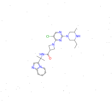 CCC1CN(c2ncc(Cl)c(N3CC(C(=O)NC(C)(C)c4cnc5ccccn45)C3)n2)CC(C)N1